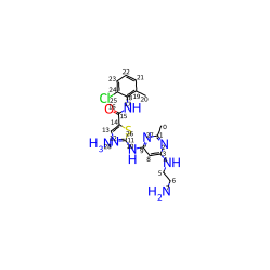 Cc1nc(NCCN)cc(Nc2ncc(C(=O)Nc3c(C)cccc3Cl)s2)n1.N